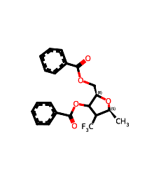 C[C@@H]1O[C@H](COC(=O)c2ccccc2)C(OC(=O)c2ccccc2)C1C(F)(F)F